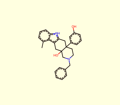 Cc1cccc2[nH]c3c(c12)CC1(O)CN(Cc2ccccc2)CCC1(c1cccc(O)c1)C3